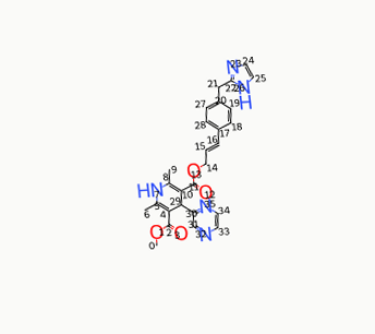 COC(=O)C1=C(C)NC(C)=C(C(=O)OCC=Cc2ccc(Cc3ncc[nH]3)cc2)C1c1cnccn1